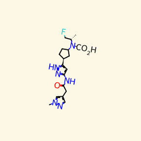 C[C@@H](CF)N(C(=O)O)[C@@H]1CC[C@H](c2cc(NC(=O)Cc3cnn(C)c3)n[nH]2)C1